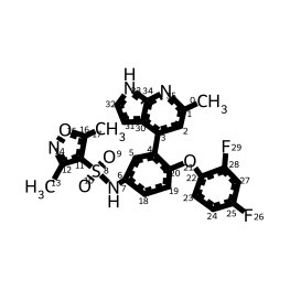 Cc1cc(-c2cc(NS(=O)(=O)c3c(C)noc3C)ccc2Oc2ccc(F)cc2F)c2cc[nH]c2n1